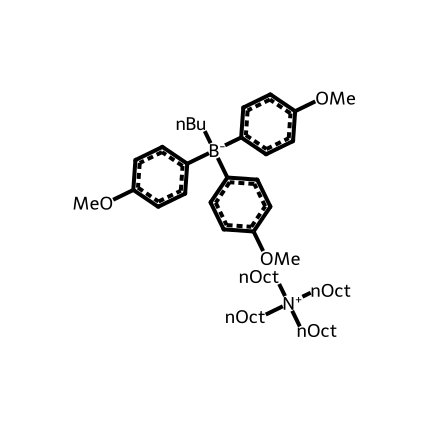 CCCCCCCC[N+](CCCCCCCC)(CCCCCCCC)CCCCCCCC.CCCC[B-](c1ccc(OC)cc1)(c1ccc(OC)cc1)c1ccc(OC)cc1